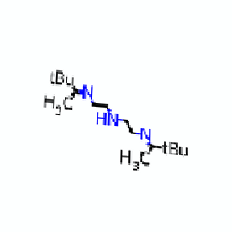 CC(=NCCNCCN=C(C)C(C)(C)C)C(C)(C)C